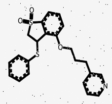 O=S1(=O)CC(Sc2ccccc2)c2c(OCCCc3cccnc3)cccc21